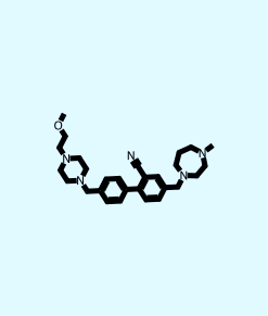 COCCN1CCN(Cc2ccc(-c3ccc(CN4CCCN(C)CC4)cc3C#N)cc2)CC1